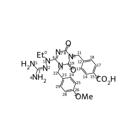 CCN(N=C(N)N)c1nc(=O)n(Cc2ccc(C(=O)O)cc2)c(=O)n1Cc1ccc(OC)cc1